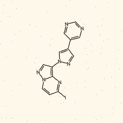 Ic1ccn2ncc(-n3cc(-c4cncnc4)cn3)c2n1